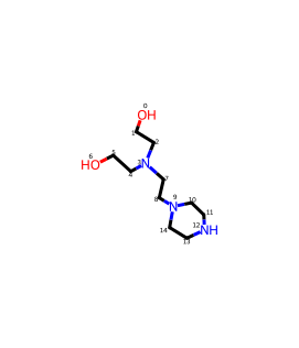 OCCN(CCO)CCN1CCNCC1